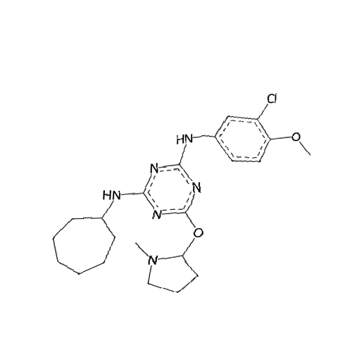 COc1ccc(Nc2nc(NC3CCCCCC3)nc(OC3CCCN3C)n2)cc1Cl